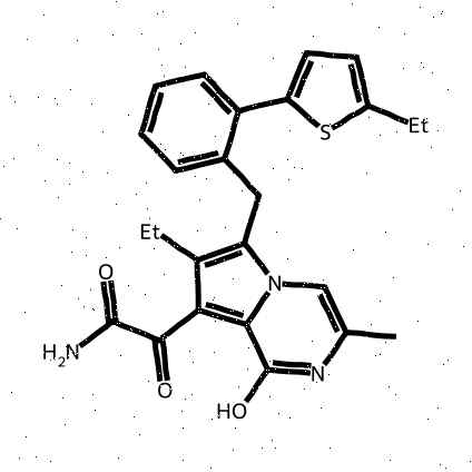 CCc1ccc(-c2ccccc2Cc2c(CC)c(C(=O)C(N)=O)c3c(O)nc(C)cn23)s1